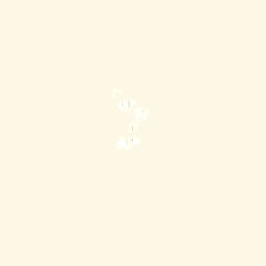 [Cl-].[Cl-].[I-].[I-].[Pt+4]